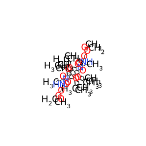 C=C(C)C(=O)OCCOCCNC(=O)C(CCCC)N1C(=O)c2cc(Oc3ccc(C(C)(C)C)cc3)c3c4c(Oc5ccc(C(C)(C)C)cc5)cc5c6c(cc(Oc7ccc(C(C)(C)C)cc7)c(c7c(Oc8ccc(C(C)(C)C)cc8)cc(c2c37)C1=O)c64)C(=O)N(C(CCCC)C(=O)NCCOCCOC(=O)C(=C)C)C5=O